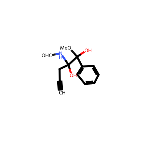 C#CCC(O)(NC=O)C(O)(OC)c1ccccc1